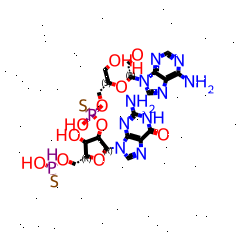 Nc1nc2c(ncn2[C@@H]2O[C@H](CO[PH](O)=S)C(O)C2OP(O)(=S)OC[C@H](CO)O[C@H](CO)n2cnc3c(N)ncnc32)c(=O)[nH]1